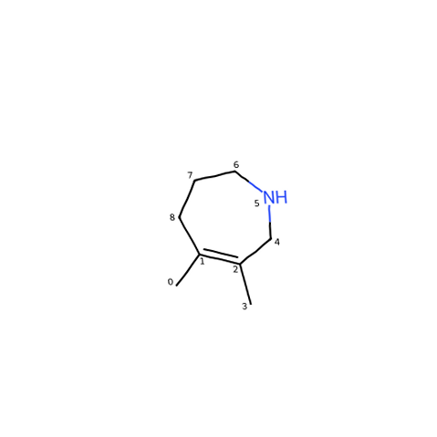 CC1=C(C)CNCCC1